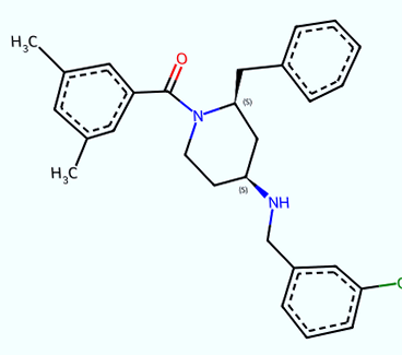 Cc1cc(C)cc(C(=O)N2CC[C@H](NCc3cccc(Cl)c3)C[C@@H]2Cc2ccccc2)c1